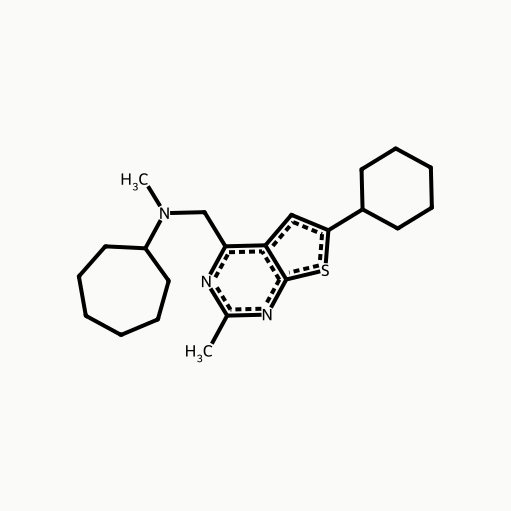 Cc1nc(CN(C)C2CCCCCC2)c2cc(C3CCCCC3)sc2n1